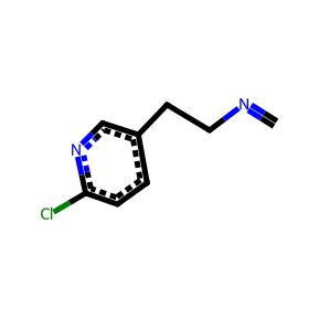 C=NCCc1ccc(Cl)nc1